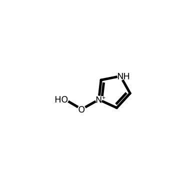 OO[n+]1cc[nH]c1